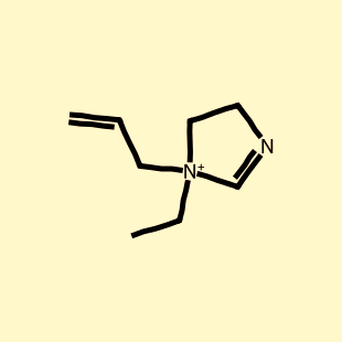 C=CC[N+]1(CC)C=NCC1